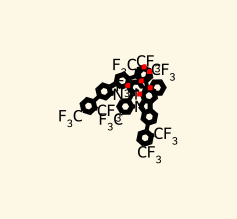 FC(F)(F)c1cc(-n2c3cc(-c4ccc(C(F)(F)F)cc4C(F)(F)F)ccc3c3ccc(-c4ccc(C(F)(F)F)cc4C(F)(F)F)cc32)c(-c2cccc(-c3ccccc3)n2)c(-n2c3cc(-c4ccc(C(F)(F)F)cc4C(F)(F)F)ccc3c3ccc(-c4ccc(C(F)(F)F)cc4C(F)(F)F)cc32)c1